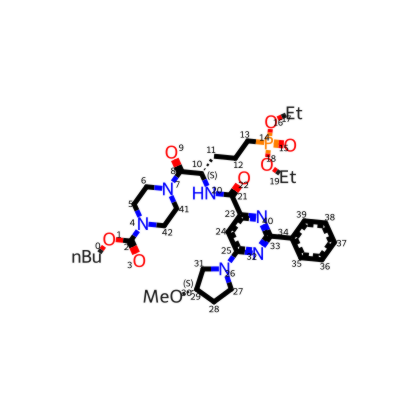 CCCCOC(=O)N1CCN(C(=O)[C@H](CCCP(=O)(OCC)OCC)NC(=O)c2cc(N3CC[C@H](OC)C3)nc(-c3ccccc3)n2)CC1